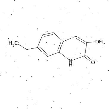 CCc1ccc2cc(O)c(=O)[nH]c2c1